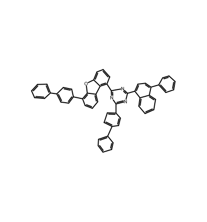 c1ccc(-c2ccc(-c3nc(-c4ccc(-c5ccccc5)c5ccccc45)nc(-c4cccc5oc6c(-c7ccc(-c8ccccc8)cc7)cccc6c45)n3)cc2)cc1